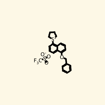 O=S(=O)([O-])C(F)(F)F.c1ccc(COc2cccc3c([S+]4CCCC4)cccc23)cc1